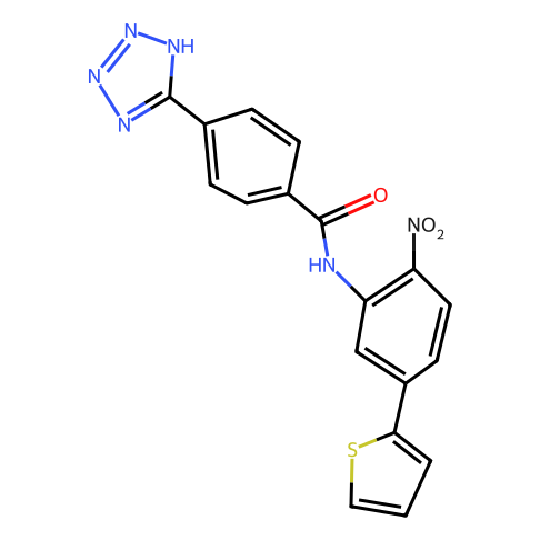 O=C(Nc1cc(-c2cccs2)ccc1[N+](=O)[O-])c1ccc(-c2nnn[nH]2)cc1